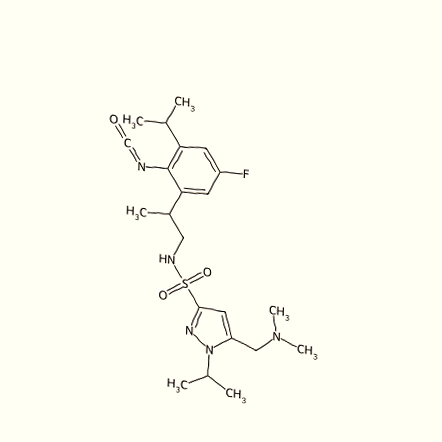 CC(C)c1cc(F)cc(C(C)CNS(=O)(=O)c2cc(CN(C)C)n(C(C)C)n2)c1N=C=O